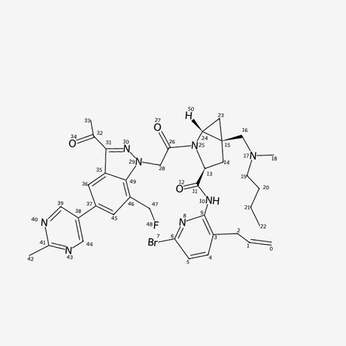 C=CCc1ccc(Br)nc1NC(=O)[C@@H]1C[C@@]2(CN(C)CCCC)C[C@H]2N1C(=O)Cn1nc(C(C)=O)c2cc(-c3cnc(C)nc3)cc(CF)c21